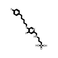 O=P(O)(O)CCCNCc1cc(F)c(SCCCCCc2ccc(F)cc2)cn1